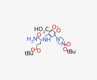 CC(C)(C)OC(=O)CC[C@H](NCc1cc(N2CCN(C(=O)OC(C)(C)C)CC2)c2c(c1C(=O)O)OCO2)C(N)=O